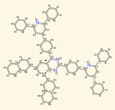 c1ccc(-c2cc(-c3ccccc3)nc(-c3ccc(-c4nc(-c5ccc(-c6cc(-c7ccccc7)nc(-c7ccccc7)c6)cc5)c5cc(-c6ccc7ccccc7c6)cc(-c6ccc7ccccc7c6)c5n4)cc3)c2)cc1